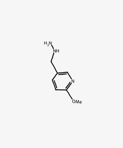 COc1ccc(CNN)cn1